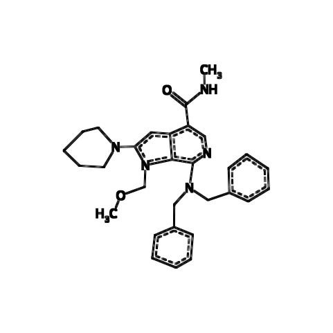 CNC(=O)c1cnc(N(Cc2ccccc2)Cc2ccccc2)c2c1cc(N1CCCCC1)n2COC